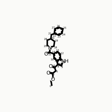 CCOC(=O)CC(=O)c1c[nH]c2ccc(C(=O)N3CCC(Cc4ccccc4)CC3)cc12